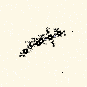 O=C(O)C1=NN(c2ccc(S(=O)(=O)O)cc2)C(=O)C1/N=N/c1ccc2c(O)c(/N=N/c3cc(OCCO)c(/N=N/c4ccc([N+](=O)[O-])cc4S(=O)(=O)O)cc3OCCO)c(S(=O)(=O)O)cc2c1S(=O)(=O)O